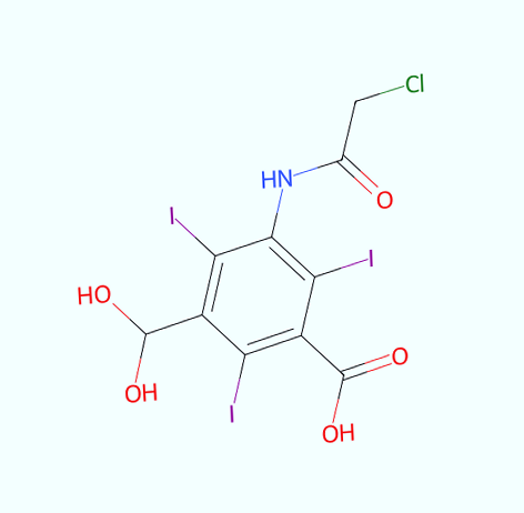 O=C(CCl)Nc1c(I)c(C(=O)O)c(I)c(C(O)O)c1I